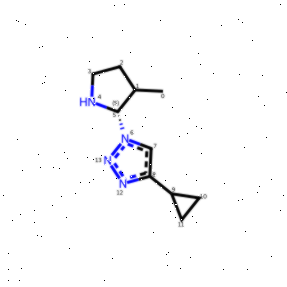 CC1CCN[C@H]1n1cc(C2CC2)nn1